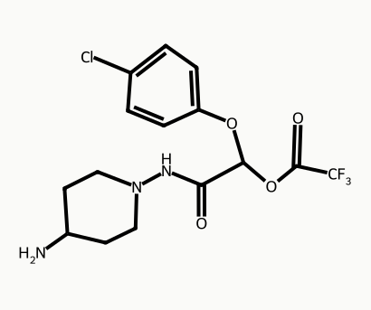 NC1CCN(NC(=O)C(OC(=O)C(F)(F)F)Oc2ccc(Cl)cc2)CC1